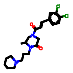 CC1CN(C(=O)/C=C/c2ccc(Cl)c(Cl)c2)CC(=O)N1CCCN1CCCCC1